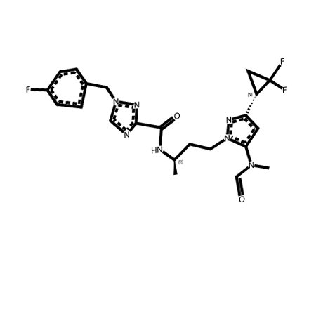 C[C@H](CCn1nc([C@@H]2CC2(F)F)cc1N(C)C=O)NC(=O)c1ncn(Cc2ccc(F)cc2)n1